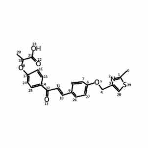 Cc1nc(COc2ccc(/C=C/C(=O)c3ccc(OC(C)C(=O)O)cc3)cc2)cs1